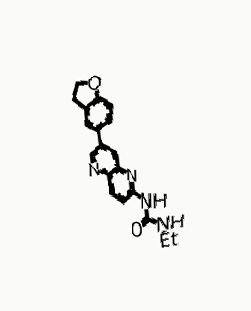 CCNC(=O)Nc1ccc2ncc(-c3ccc4c(c3)CCO4)cc2n1